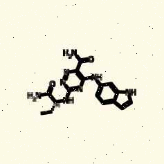 CC[C@@H](Nc1nnc(C(N)=O)c(Nc2ccc3cc[nH]c3c2)n1)C(N)=O